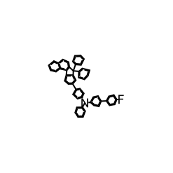 Fc1ccc(-c2ccc(N(c3ccccc3)c3ccc(-c4ccc5c(c4)C(c4ccccc4)(c4ccccc4)c4ccc6ccccc6c4-5)cc3)cc2)cc1